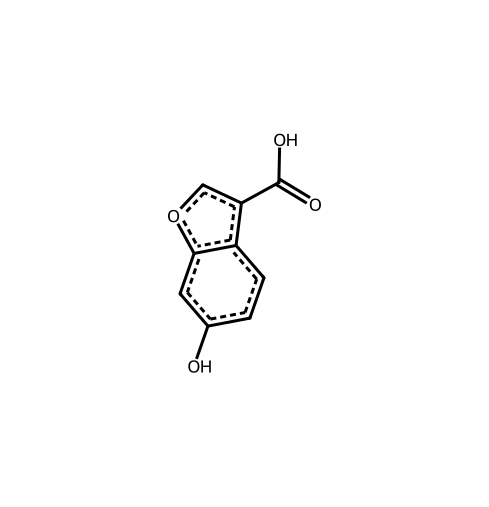 O=C(O)c1coc2cc(O)ccc12